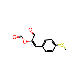 CSc1ccc(/C=C(\C=O)OC=O)cc1